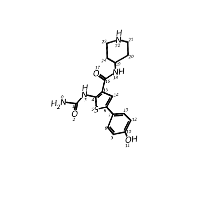 NC(=O)Nc1sc(-c2ccc(O)cc2)cc1C(=O)NC1CCNCC1